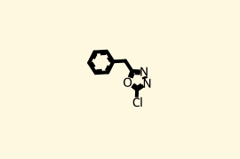 Clc1nnc(Cc2ccccc2)o1